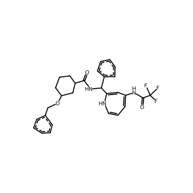 O=C(NC(C1=CC(NC(=O)C(F)(F)F)=CC=CN1)c1ccccc1)C1CCCC(OCc2ccccc2)C1